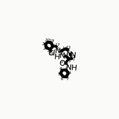 O=C(Nc1ccccc1)c1cnn2ccc(NCc3ccccc3Cl)nc12